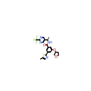 Cc1cnc(-c2cc(OC3CCOC3)cc(C(=O)N[C@H](C)c3cnc(C(F)(F)F)nc3)c2)s1